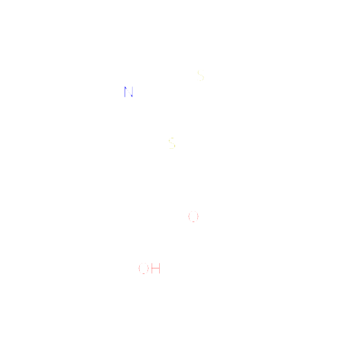 CCSc1nc(C)c(CC(=O)O)s1